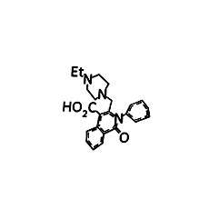 CCN1CCN(Cc2c(C(=O)O)c3ccccc3c(=O)n2-c2ccccc2)CC1